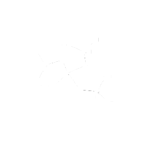 CCCCCCCC[Si](O[SiH](C)C)(O[SiH](C)C)O[SiH](C)C